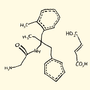 Cc1ccccc1C(C)(Cc1ccccc1)NC(=O)CN.O=C(O)C=CC(=O)O